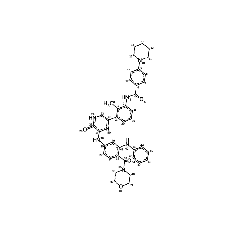 Cc1c(NC(=O)c2ccc(N3CCCCC3)cc2)cccc1-c1c[nH]c(=O)c(Nc2ccc(C(=O)N3CCOCC3)c(Nc3ccccc3)c2)n1